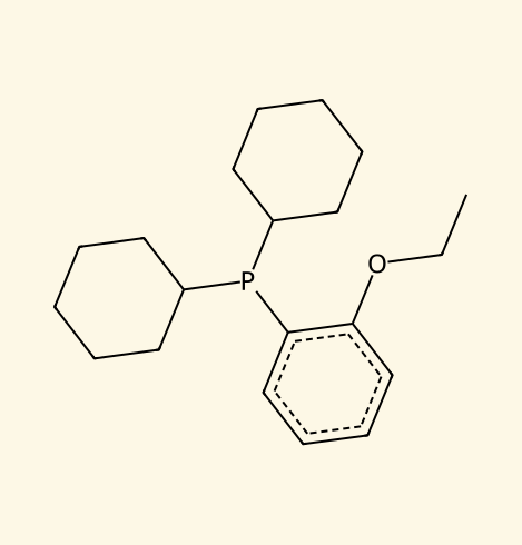 CCOc1ccccc1P(C1CCCCC1)C1CCCCC1